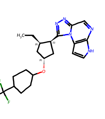 CC[C@@H]1C[C@@H](OC2CCC(C(F)(F)F)CC2)C[C@@H]1c1nnc2cnc3[nH]ccc3n12